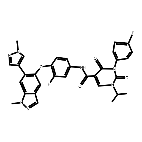 CC(C)n1cc(C(=O)Nc2ccc(Oc3cc4cnn(C)c4cc3-c3cnn(C)c3)c(F)c2)c(=O)n(-c2ccc(F)cc2)c1=O